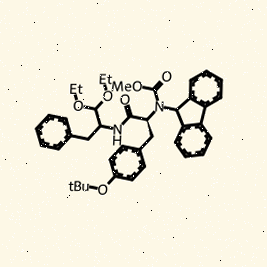 CCOC(OCC)C(Cc1ccccc1)NC(=O)[C@H](Cc1ccc(OC(C)(C)C)cc1)N(C(=O)OC)C1c2ccccc2-c2ccccc21